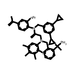 C=C(C)c1ccc(N(Cc2cc(C3CC3)cc(C3CC3)c2)C(=C)CN(Cc2ccccc2C(C)(C)P)c2cc(C)c(C)c(C)c2F)c(CCC)c1